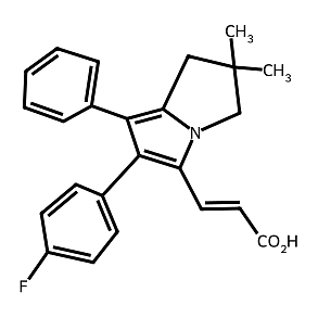 CC1(C)Cc2c(-c3ccccc3)c(-c3ccc(F)cc3)c(C=CC(=O)O)n2C1